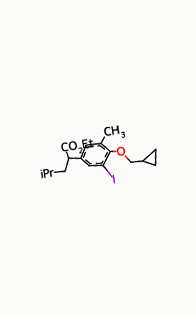 CCOC(=O)C(CC(C)C)c1cc(C)c(OCC2CC2)c(I)c1